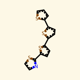 c1csc(-c2ccc(-c3ccc(-c4nccs4)s3)s2)c1